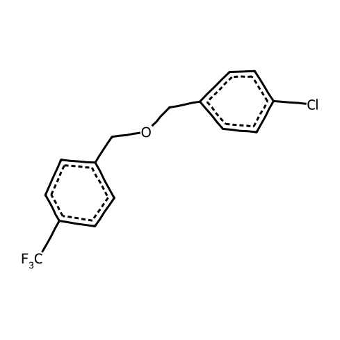 FC(F)(F)c1ccc(COCc2ccc(Cl)cc2)cc1